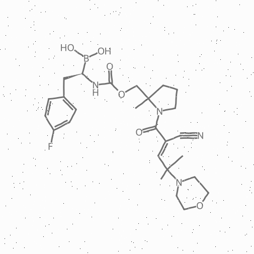 CC(C)(C=C(C#N)C(=O)N1CCCC1(C)COC(=O)N[C@@H](Cc1ccc(F)cc1)B(O)O)N1CCOCC1